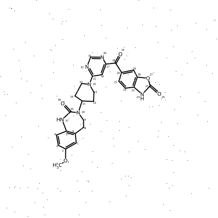 COc1ccc2c(c1)CCN(C1CCN(c3cc(C(=O)c4ccc5[nH]c(=O)oc5c4)ncn3)CC1)C(=O)N2